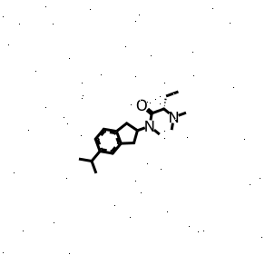 CC[C@@H](C(=O)N(C)C1Cc2ccc(C(C)C)cc2C1)N(C)C